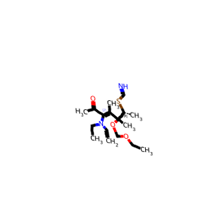 C=CN(CC)/C(C(C)=O)=C(/C)C(C)(OCOCC)[C@@H](C)SC=N